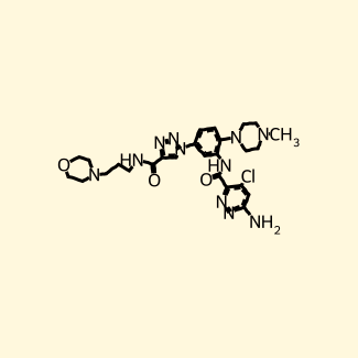 CN1CCN(c2ccc(-n3cc(C(=O)NCCCN4CCOCC4)nn3)cc2NC(=O)c2nnc(N)cc2Cl)CC1